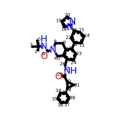 CC(C)(C)NC(=O)N1CCc2c(-c3cccc(-n4cccn4)c3)ccc(CNC(=O)C3C[C@H]3c3ccccc3)c2C1